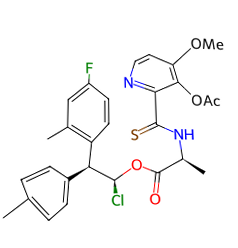 COc1ccnc(C(=S)N[C@@H](C)C(=O)O[C@@H](Cl)[C@@H](c2ccc(C)cc2)c2ccc(F)cc2C)c1OC(C)=O